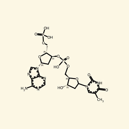 Cc1cn(C2C[C@H](O)[C@@H](COP(=O)(O)O[C@H]3C[C@H](n4cnc5c(N)ncnc54)O[C@@H]3COP(=O)(O)O)O2)c(=O)[nH]c1=O